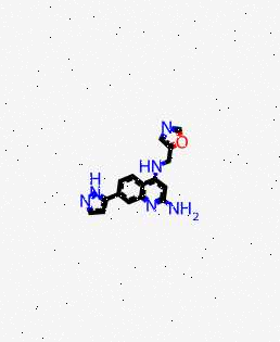 Nc1cc(NCc2cnco2)c2ccc(-c3ccn[nH]3)cc2n1